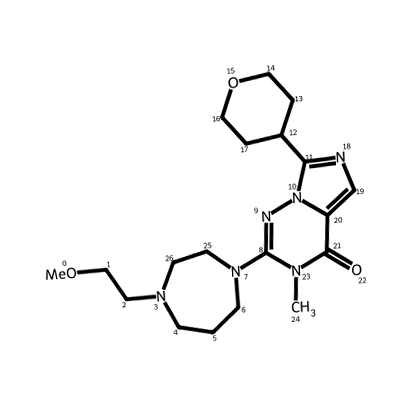 COCCN1CCCN(c2nn3c(C4CCOCC4)ncc3c(=O)n2C)CC1